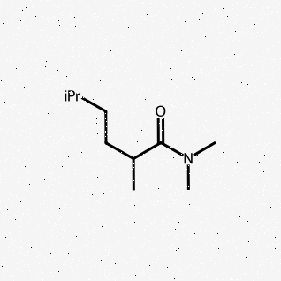 CC(C)CCC(C)C(=O)N(C)C